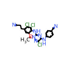 COc1cc(CCC#N)c(Cl)c(Cl)c1Nc1nnc(Cl)c(Nc2ccc(C#N)cc2)n1